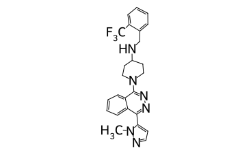 Cn1nccc1-c1nnc(N2CCC(NCc3ccccc3C(F)(F)F)CC2)c2ccccc12